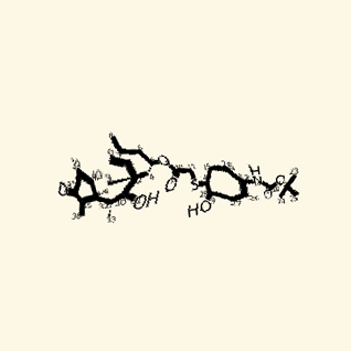 C=C[C@](C)(C[C@H](CCC)OC(=O)CSC1CCC(NC(=O)OC(C)(C)C)CCC1O)C(O)[C@H](C)C1=C(C)C(=O)CC1